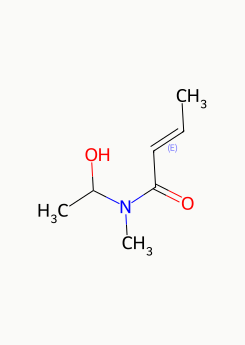 C/C=C/C(=O)N(C)C(C)O